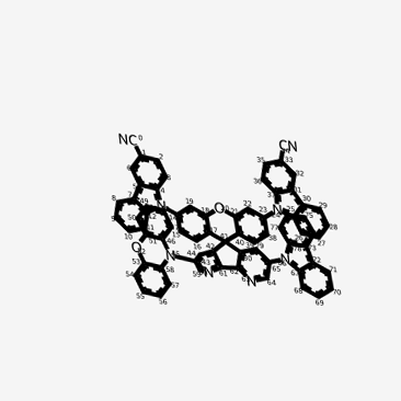 N#Cc1ccc2c(c1)c1ccccc1n2-c1ccc2c(c1)Oc1cc(-n3c4ccccc4c4cc(C#N)ccc43)ccc1C21c2cc(N3c4ccccc4Oc4ccccc43)cnc2-c2ncc(-n3c4ccccc4c4ccccc43)cc21